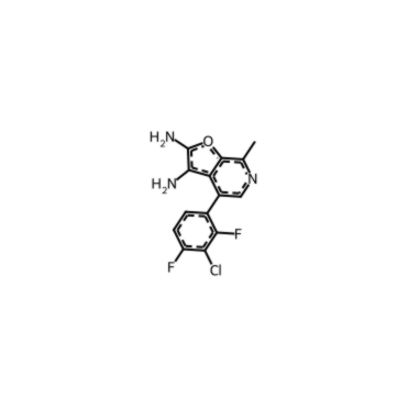 Cc1ncc(-c2ccc(F)c(Cl)c2F)c2c(N)c(N)oc12